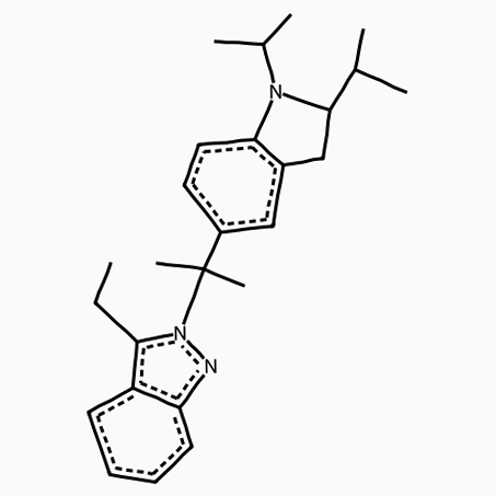 CCc1c2ccccc2nn1C(C)(C)c1ccc2c(c1)CC(C(C)C)N2C(C)C